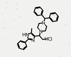 CCC(c1nc(-c2ccccc2)[nH]c1C)N1CCN(C(c2ccccc2)c2ccccc2)CC1.Cl